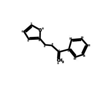 C=C(CCc1ccco1)c1ccccc1